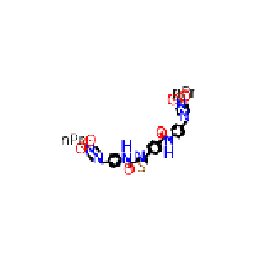 CCCS(=O)(=O)N1CCN(Cc2ccc(NC(=O)c3ccc(-c4csc(C(=O)Nc5ccc(CN6CCN(S(=O)(=O)CCC)CC6)cc5)n4)cc3)cc2)CC1